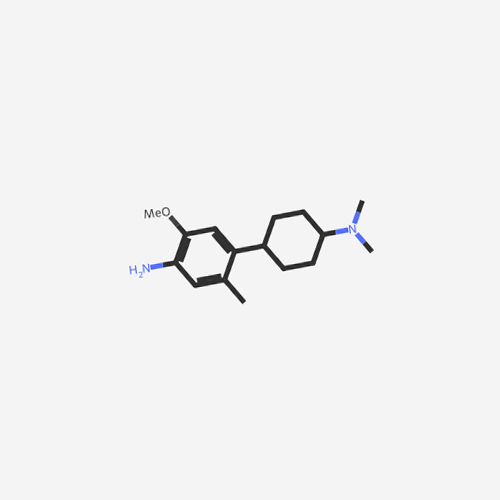 COc1cc(C2CCC(N(C)C)CC2)c(C)cc1N